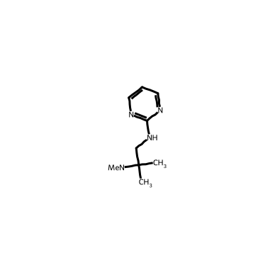 CNC(C)(C)CNc1ncccn1